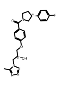 Cc1nnnn1C[C@@H](O)COc1ccc(C(=O)N2CC[C@H](c3ccc(F)cc3)C2)cc1